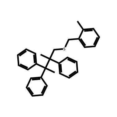 Cc1ccccc1CSCC(C)(c1ccccc1)C(C)(c1ccccc1)c1ccccc1